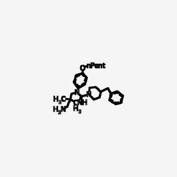 CCCCCOc1ccc(N(CC(C)(C)CN)C(=N)N2CCC(Cc3ccccc3)CC2)cc1